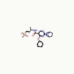 CC(/C=C/S(C)(=O)=O)NC(=O)c1cnc(N2C3CCC2CC3)nc1Oc1ccccc1